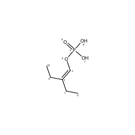 CCC(=COP(=O)(O)O)CC